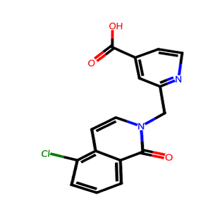 O=C(O)c1ccnc(Cn2ccc3c(Cl)cccc3c2=O)c1